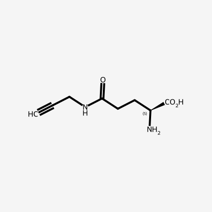 C#CCNC(=O)CC[C@H](N)C(=O)O